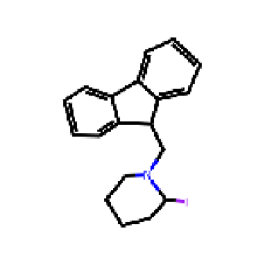 IC1CCCCN1CC1c2ccccc2-c2ccccc21